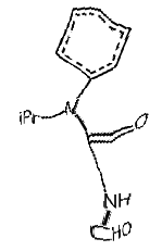 CC(C)N(C(=O)CNC=O)c1ccccc1